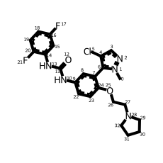 Cn1ncc(Cl)c1-c1cc(NC(=O)Nc2cc(F)ccc2F)ccc1OCCN1CCCC1